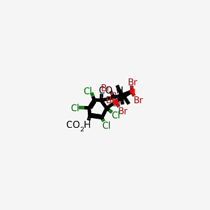 CC(C)(CBr)C(Br)(Br)C1(Cl)C(Cl)=C(C(=O)O)C(Cl)=C(Cl)C1(C(=O)O)C(Br)(Br)C(C)(C)CBr